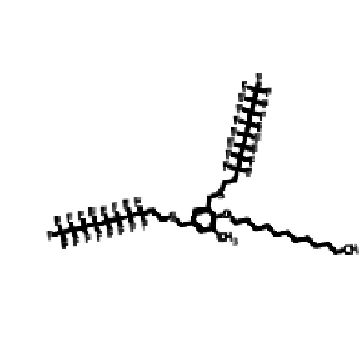 CCCCCCCCCCCCOc1c(C)cc(CSCCC(F)(F)C(F)(F)C(F)(F)C(F)(F)C(F)(F)C(F)(F)C(F)(F)C(F)(F)F)cc1CSCCC(F)(F)C(F)(F)C(F)(F)C(F)(F)C(F)(F)C(F)(F)C(F)(F)C(F)(F)F